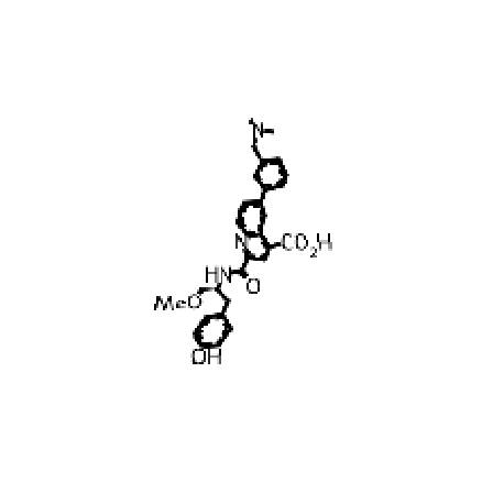 COC[C@H](Cc1ccc(O)cc1)NC(=O)c1cc(C(=O)O)c2cc(-c3cccc(CN(C)C)c3)ccc2n1